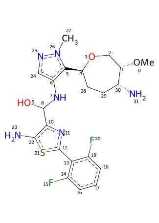 CO[C@H]1CO[C@H](c2c(NC(O)c3nc(-c4c(F)cccc4F)sc3N)cnn2C)CC[C@H]1N